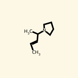 CC=CC(C)N1CCCC1